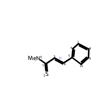 CNC(=S)/C=C/c1ccccc1